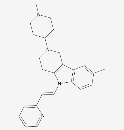 Cc1ccc2c(c1)c1c(n2C=Cc2ccccn2)CCN(C2CCN(C)CC2)C1